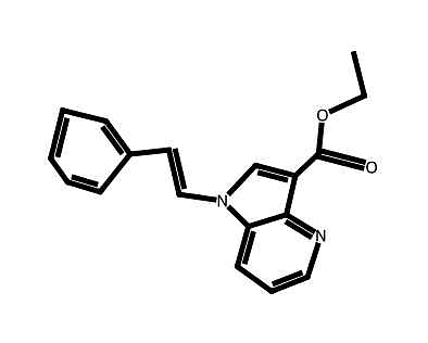 CCOC(=O)c1cn(C=Cc2ccccc2)c2cccnc12